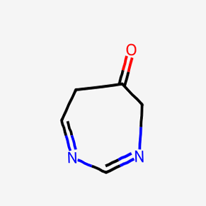 O=C1CC=NC=NC1